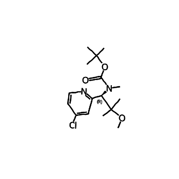 COC(C)(C)[C@@H](c1cc(Cl)ccn1)N(C)C(=O)OC(C)(C)C